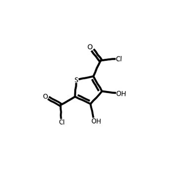 O=C(Cl)c1sc(C(=O)Cl)c(O)c1O